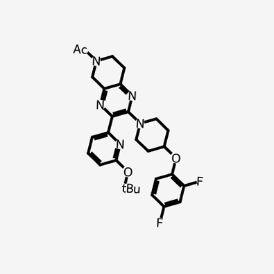 CC(=O)N1CCc2nc(N3CCC(Oc4ccc(F)cc4F)CC3)c(-c3cccc(OC(C)(C)C)n3)nc2C1